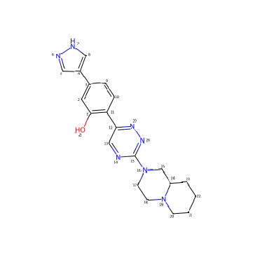 Oc1cc(-c2cn[nH]c2)ccc1-c1cnc(N2CCN3CCCCC3C2)nn1